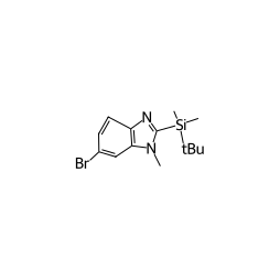 Cn1c([Si](C)(C)C(C)(C)C)nc2ccc(Br)cc21